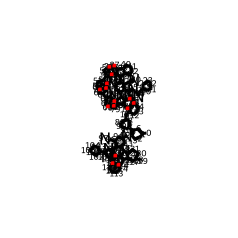 Cc1ccc2c(c1)c1cc(Cc3cccc(-c4nc(-c5ccccc5)nc(-c5c(C#N)c(-n6c7ccccc7c7ccccc76)c(-n6c7ccccc7c7ccccc76)c(-n6c7ccccc7c7ccccc76)c5-n5c6ccccc6c6ccccc65)n4)c3)ccc1n2-c1cc(C#N)c(-c2nc(-c3ccccc3)nc(-c3ccccc3)n2)c(-n2c3ccc(C)cc3c3cc(C)ccc32)c1